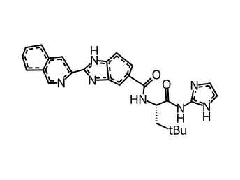 CC(C)(C)C[C@H](NC(=O)c1ccc2[nH]c(-c3cc4ccccc4cn3)nc2c1)C(=O)Nc1ncc[nH]1